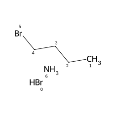 Br.CCCCBr.N